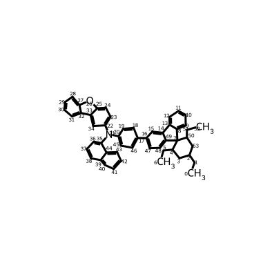 CCC1CC(CC)C2(c3ccccc3-c3cc(-c4ccc(N(c5ccc6oc7ccccc7c6c5)c5cccc6ccccc56)cc4)ccc32)C(CC)C1